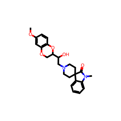 COc1ccc2c(c1)OCC(C(O)CN1CCC3(CC1)C(=O)N(C)c1ccccc13)O2